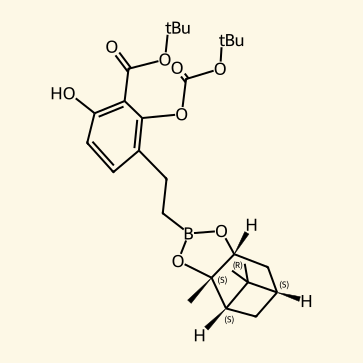 CC(C)(C)OC(=O)Oc1c(CCB2O[C@@H]3C[C@@H]4C[C@@H](C4(C)C)[C@]3(C)O2)ccc(O)c1C(=O)OC(C)(C)C